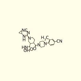 Cc1cc(C#N)ccc1N1CCN(C(=O)C2CCN(C(=NC#N)NC3CC3)CC2C(=O)NO)CC1